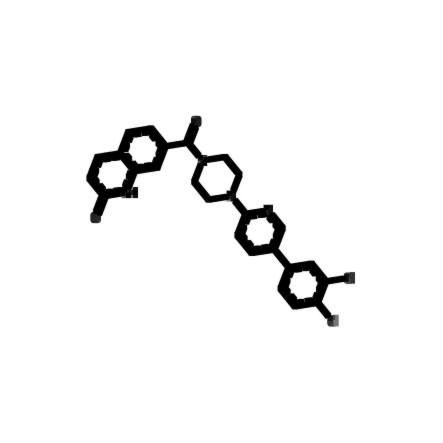 O=C(c1ccc2ccc(=O)[nH]c2c1)N1CCN(c2ccc(-c3ccc(Cl)c(Cl)c3)cn2)CC1